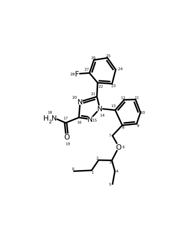 CCCC(CC)OCc1ccccc1-n1nc(C(N)=O)nc1-c1ccccc1F